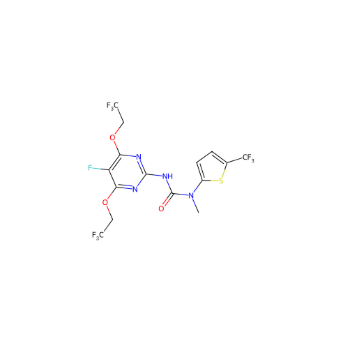 CN(C(=O)Nc1nc(OCC(F)(F)F)c(F)c(OCC(F)(F)F)n1)c1ccc(C(F)(F)F)s1